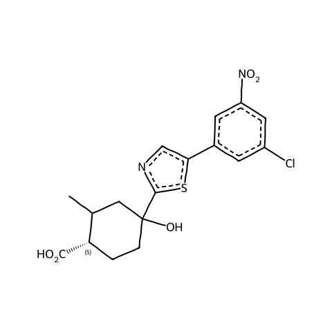 CC1CC(O)(c2ncc(-c3cc(Cl)cc([N+](=O)[O-])c3)s2)CC[C@@H]1C(=O)O